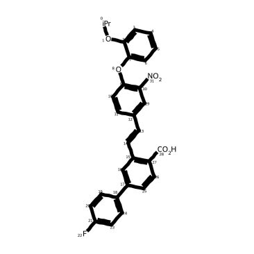 CC(C)Oc1ccccc1Oc1ccc(C=Cc2cc(-c3ccc(F)cc3)ccc2C(=O)O)cc1[N+](=O)[O-]